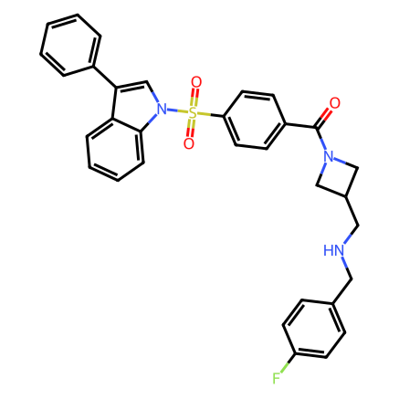 O=C(c1ccc(S(=O)(=O)n2cc(-c3ccccc3)c3ccccc32)cc1)N1CC(CNCc2ccc(F)cc2)C1